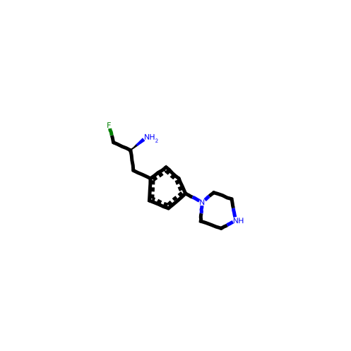 N[C@H](CF)Cc1ccc(N2CCNCC2)cc1